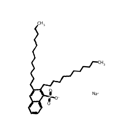 CCCCCCCCCCCCc1cc2ccccc2c(S(=O)(=O)[O-])c1CCCCCCCCCCCC.[Na+]